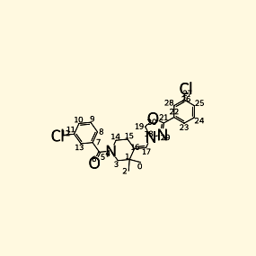 CC1(C)CN(C(=O)c2cccc(Cl)c2)CC/C1=C\N1COC(c2cccc(Cl)c2)=N1